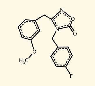 COc1cccc(Cc2noc(=O)n2Cc2ccc(F)cc2)c1